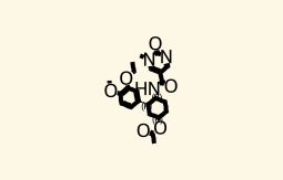 CCOc1cc([C@H]2C[C@H](OC(C)=O)CC[C@H]2NC(=O)c2cnc(=O)n(C)c2)ccc1OC